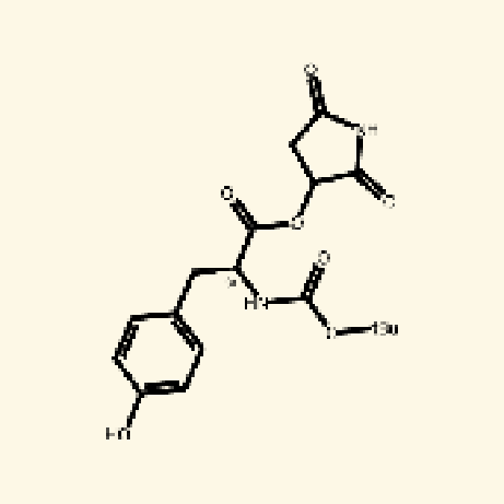 CC(C)(C)OC(=O)N[C@@H](Cc1ccc(O)cc1)C(=O)OC1CC(=O)NC1=O